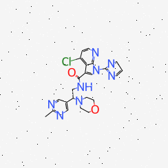 Cc1ncc(C(CNC(=O)c2cn(-c3ncccn3)c3nccc(Cl)c23)N2CCOCC2)cn1